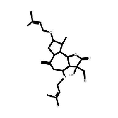 C=C1CC(OCC=C(C)C)C2C(OC(=O)C2(O)CCl)C2C1CC(OCC=C(C)C)C2C